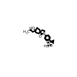 CCCC1(O)CCC2(CCN(c3ccc(C4(S(=O)(=O)O)CC4)cc3)C2=O)CC1